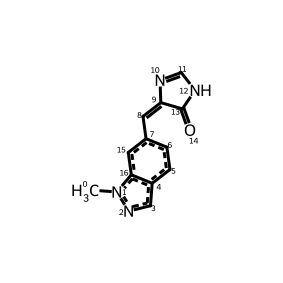 Cn1ncc2ccc(C=C3N=CNC3=O)cc21